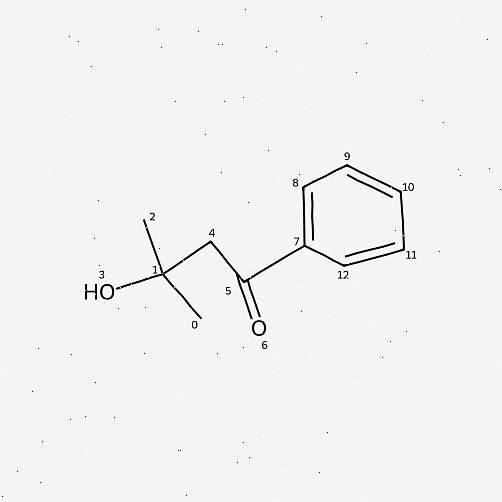 CC(C)(O)CC(=O)c1ccccc1